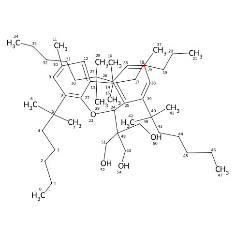 CCCCCC(C)(C)c1cc(C)cc(C(C)(C)CCCCC)c1OC(c1c(C(C)(C)CCCCC)cc(C)cc1C(C)(C)CCCCC)C(CO)(CO)CO